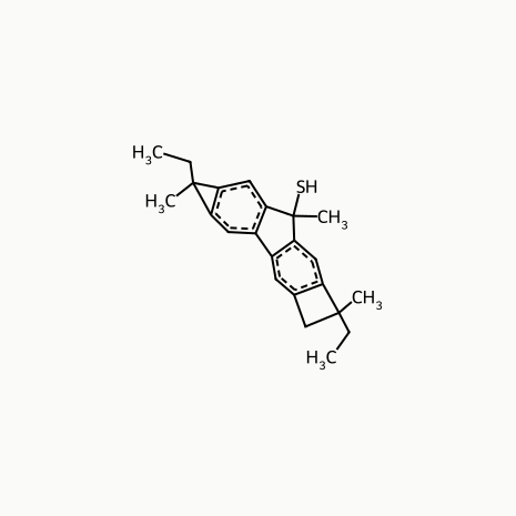 CCC1(C)Cc2cc3c(cc21)C(C)(S)c1cc2c(cc1-3)C2(C)CC